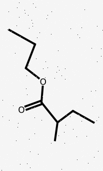 CCCOC(=O)C(C)CC